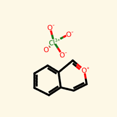 [O-][Cl+3]([O-])([O-])[O-].c1ccc2c[o+]ccc2c1